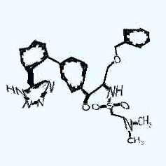 CN(C)CS(=O)(=O)NC(COCc1ccccc1)C(=O)c1ccc(-c2ccccc2-c2nnn[nH]2)cc1